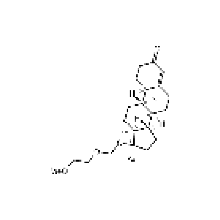 COCCOCO[C@]1(C(C)=O)CC[C@H]2[C@@H]3CCC4=CC(=O)CC[C@]4(C)[C@H]3CC[C@@]21C